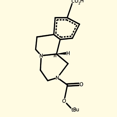 CC(C)(C)OC(=O)N1CCN2CCc3cc(C(=O)O)ccc3[C@@H]2C1